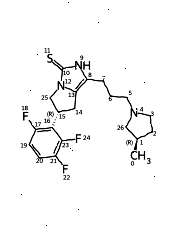 C[C@@H]1CCN(CCCc2[nH]c(=S)n3c2C[C@H](c2c(F)ccc(F)c2F)C3)C1